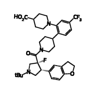 CC(C)(C)N1C[C@@H](c2ccc3c(c2)CCO3)[C@](F)(C(=O)N2CCC(c3ccc(C(F)(F)F)cc3N3CCC(C(=O)O)CC3)CC2)C1